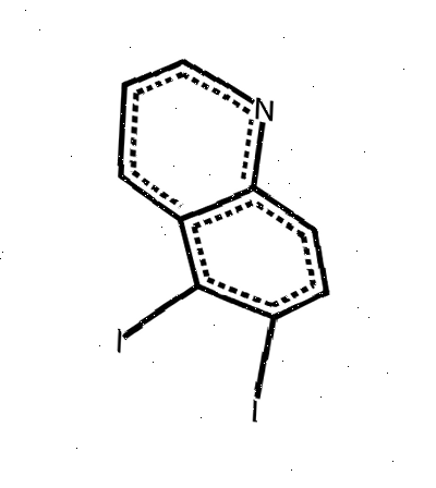 Ic1ccc2ncccc2c1I